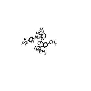 Cc1ccc(-c2cncn2C)c(C(=O)N2CCC[C@@H](C)[C@H]2CNc2ccc(C(F)(F)F)cn2)c1